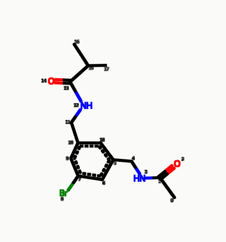 CC(=O)NCc1cc(Br)cc(CNC(=O)C(C)C)c1